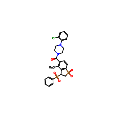 COc1c(C(=O)N2CCN(c3ccccc3Cl)CC2)ccc2c1C(S(=O)(=O)c1ccccc1)CS2(=O)=O